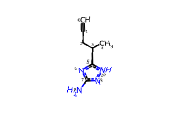 C#CCC(C)c1nc(N)n[nH]1